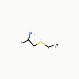 CC(N)CSCC#N